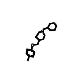 Cc1ccc(OCC2CCN(CC3CCCCC3)CC2)cc1